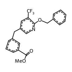 COC(=O)c1cccc(Cc2cnc(OCc3ccccc3)c(C(F)(F)F)c2)c1